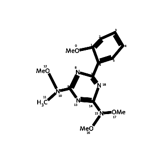 COc1ccccc1-c1nc(N(C)OC)nc(N(OC)OC)n1